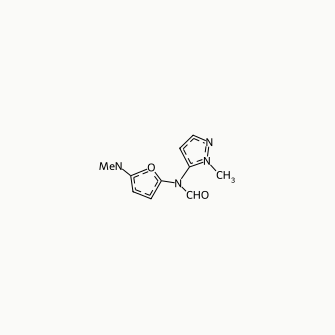 CNc1ccc(N(C=O)c2ccnn2C)o1